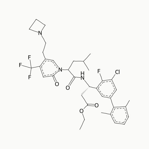 CCOC(=O)C[C@H](NC(=O)C(CC(C)C)n1cc(CCN2CCC2)c(C(F)(F)F)cc1=O)c1cc(-c2c(C)cccc2C)cc(Cl)c1F